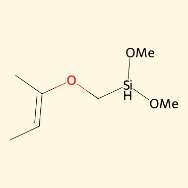 CC=C(C)OC[SiH](OC)OC